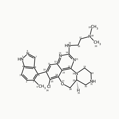 Cc1ccc2[nH]ncc2c1-c1cc2nc(NCCN(C)C)nc3c2c(c1Cl)OC[C@@H]1CNCCN31